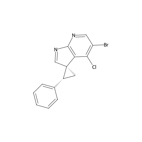 Clc1c(Br)cnc2c1[C@@]1(C=N2)C[C@@H]1c1ccccc1